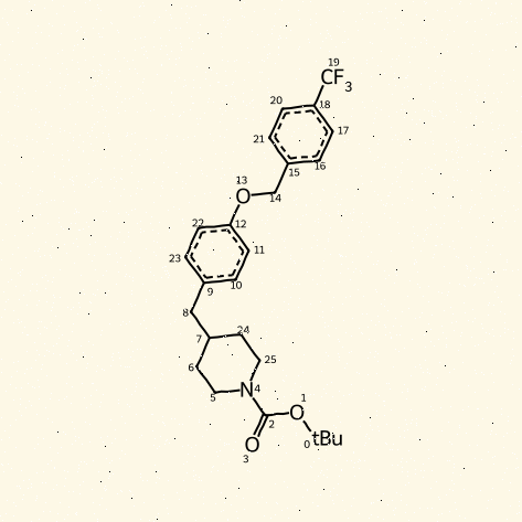 CC(C)(C)OC(=O)N1CCC(Cc2ccc(OCc3ccc(C(F)(F)F)cc3)cc2)CC1